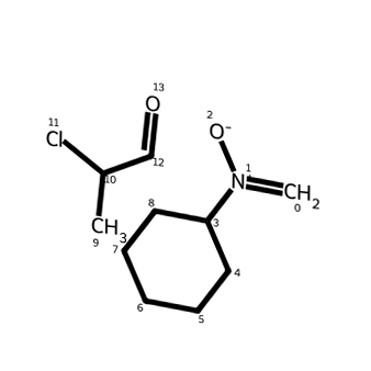 C=[N+]([O-])C1CCCCC1.CC(Cl)C=O